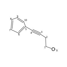 [O]CCC#Cc1ccccc1